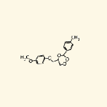 COc1ccc(OCC2COOC(c3ccc(C)cc3)O2)cc1